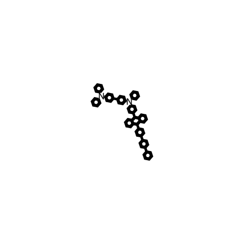 c1ccc(-c2ccc(-c3ccc(-c4c5ccccc5c(-c5ccc(N(c6ccccc6)c6ccc(-c7ccc(N(c8ccccc8)c8ccccc8)cc7)cc6)cc5)c5ccccc45)cc3)cc2)cc1